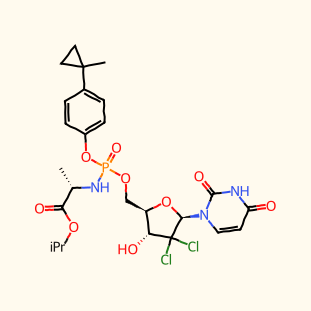 CC(C)OC(=O)[C@H](C)NP(=O)(OC[C@H]1O[C@@H](n2ccc(=O)[nH]c2=O)C(Cl)(Cl)[C@@H]1O)Oc1ccc(C2(C)CC2)cc1